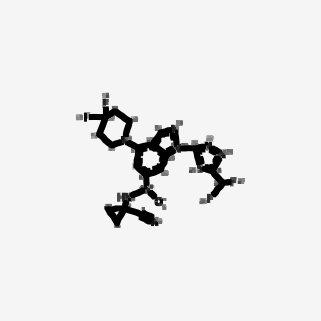 N#CC1(N[S+]([O-])c2cc(N3CCC(F)(F)CC3)c3cnn(-c4nnc(C(F)F)s4)c3c2)CC1